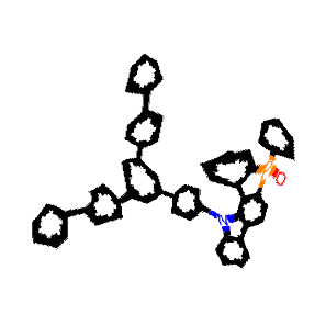 O=P1(c2ccccc2)c2ccccc2-c2c1ccc1c3ccccc3n(-c3ccc(-c4cc(-c5ccc(-c6ccccc6)cc5)cc(-c5ccc(-c6ccccc6)cc5)c4)cc3)c21